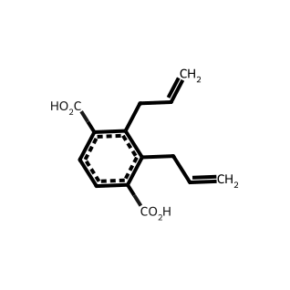 C=CCc1c(C(=O)O)ccc(C(=O)O)c1CC=C